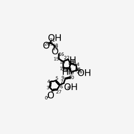 COc1cccc(C(O)C=C[C@@H]2[C@@H]3CC(CCOCC(=O)O)C[C@H]3C[C@H]2O)c1